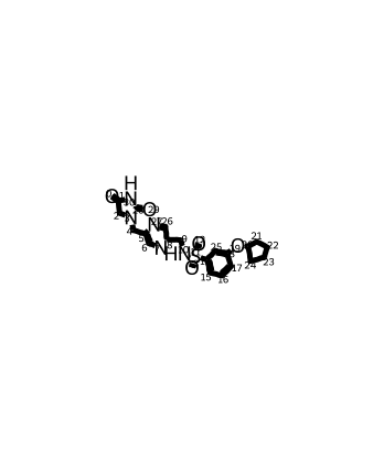 O=C1CN(Cc2cnc(CNS(=O)(=O)c3cccc(OC4CCCC4)c3)cn2)C(=O)N1